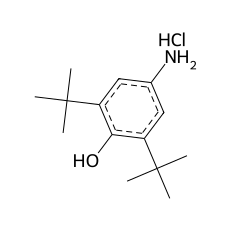 CC(C)(C)c1cc(N)cc(C(C)(C)C)c1O.Cl